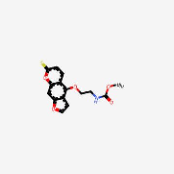 CC(C)(C)OC(=O)NCCOc1c2ccoc2cc2oc(=S)ccc12